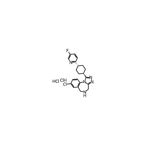 Cl.Cl.Fc1ccc([C@H]2CC[C@H](c3nnc4n3-c3ccc(Cl)cc3CNC4)CC2)nc1